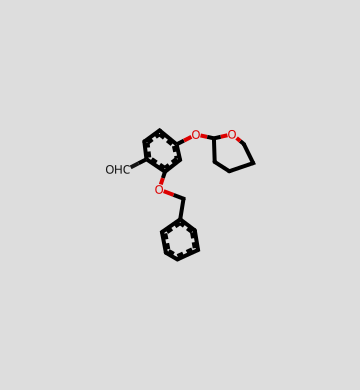 O=Cc1ccc(OC2CCCCO2)cc1OCc1ccccc1